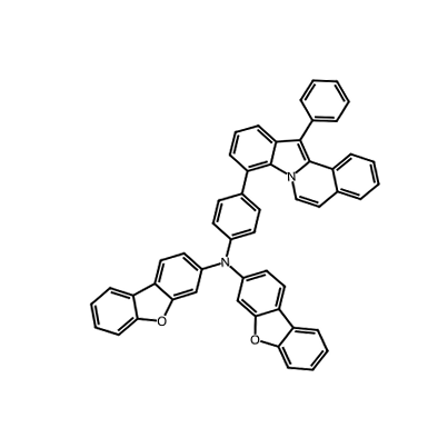 c1ccc(-c2c3cccc(-c4ccc(N(c5ccc6c(c5)oc5ccccc56)c5ccc6c(c5)oc5ccccc56)cc4)c3n3ccc4ccccc4c23)cc1